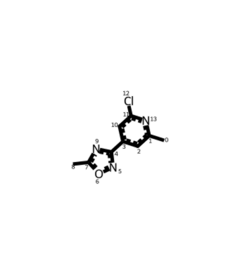 Cc1cc(-c2noc(C)n2)cc(Cl)n1